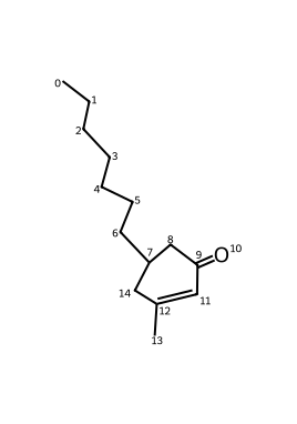 CCCCCCCC1CC(=O)C=C(C)C1